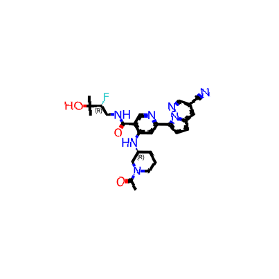 CC(=O)N1CCC[C@@H](Nc2cc(-c3ccc4cc(C#N)cnn34)ncc2C(=O)NC[C@@H](F)C(C)(C)O)C1